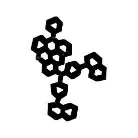 c1ccc(N(c2ccccc2)c2cccc3c2-c2cccc4c(N(c5ccc(-c6cccc7ccccc67)cc5)c5ccc(-c6cccc7ccccc67)cc5)ccc(c24)O3)cc1